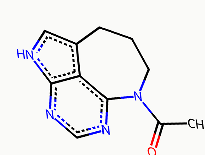 CC(=O)N1CCCc2c[nH]c3ncnc1c23